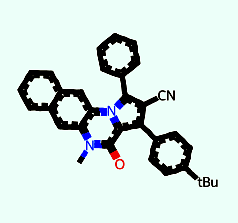 Cn1c(=O)c2c(-c3ccc(C(C)(C)C)cc3)c(C#N)c(-c3ccccc3)n2c2cc3ccccc3cc21